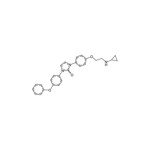 O=c1n(-c2ccc(OCCNC3CC3)cc2)ccn1-c1ccc(Oc2ccccc2)cc1